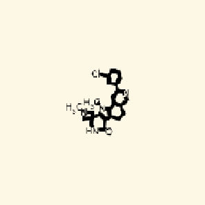 CN1CC2(CNC(=O)c3c4c(n(C)c32)-c2cc(-c3cccc(Cl)c3)ncc2CC4)C1